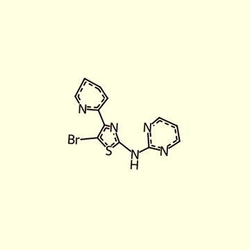 Brc1sc(Nc2ncccn2)nc1-c1ccccn1